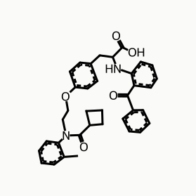 Cc1ccccc1N(CCOc1ccc(CC(Nc2ccccc2C(=O)c2ccccc2)C(=O)O)cc1)C(=O)C1CCC1